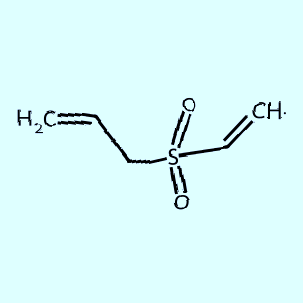 [CH]=CS(=O)(=O)CC=C